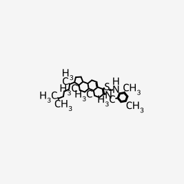 Cc1cc(C)c(Nc2nc3c(s2)C2=CCC4C(CCC5(C)C(C(C)CCCC(C)C)CCC45)C2(C)CC3)c(C)c1